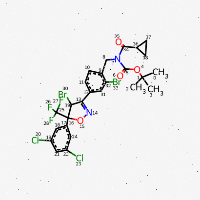 CC(C)(C)OC(=O)N(Cc1ccc(C2=NOC(c3cc(Cl)cc(Cl)c3)(C(F)(F)F)C2Br)cc1Br)C(=O)C1CC1